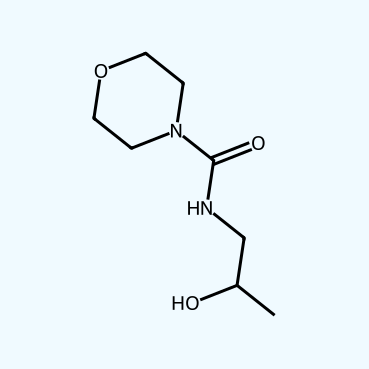 CC(O)CNC(=O)N1CCOCC1